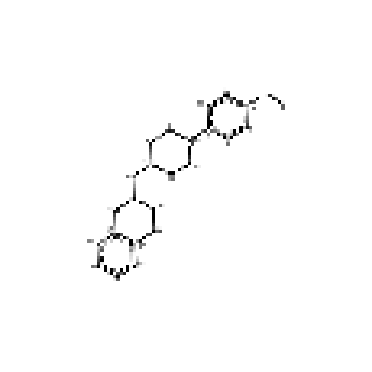 COc1ccc(N2CCN(CC3[C]c4ccccc4CC3)CC2)cc1